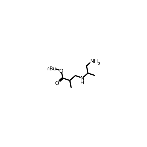 CCCCOC(=O)C(C)CNC(C)CN